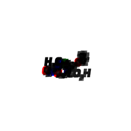 CCc1c2c(nn1C)C(CCN1CCOCC1)OCCCCn1c(C(=O)O)c(CCCOc3cccc4ccccc34)c3ccc(F)c-2c31